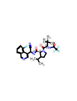 CC(C)C1CCN(C(=O)[C@@H](NC(=O)C(F)(F)F)C(C)(C)C)[C@@H]1C(=O)NC(C#N)c1cncc2cccc(F)c12